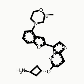 C[C@H]1CN(c2cccc3oc(-c4cnc5ccc(O[C@H]6C[C@H](N)C6)nn45)cc23)CCO1